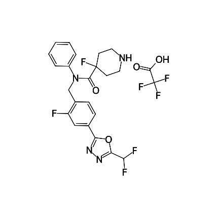 O=C(N(Cc1ccc(-c2nnc(C(F)F)o2)cc1F)c1ccccc1)C1(F)CCNCC1.O=C(O)C(F)(F)F